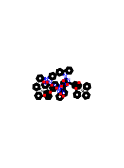 c1ccc([Si](c2ccccc2)(c2ccccc2)c2ccccc2-c2cccc(-c3nc(-n4c5ccccc5c5ccccc54)nc(-n4c5ccc(-c6cccc([Si](c7ccccc7)(c7ccccc7)c7ccccc7-c7cccc(-c8cc(-n9c%10ccccc%10c%10ccccc%109)nc(-n9c%10ccccc%10n%10c%11ccccc%11nc9%10)c8)c7)c6)cc5n5c6ccccc6nc45)n3)c2)cc1